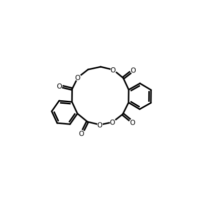 O=C1OCCOC(=O)c2ccccc2C(=O)OOC(=O)c2ccccc21